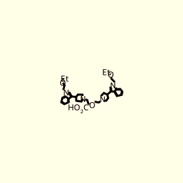 CCOCCn1cc(C2CCN(CCOC(CN3CCC(c4cn(CCOCC)c5ccccc45)CC3)C(=O)O)CC2)c2ccccc21